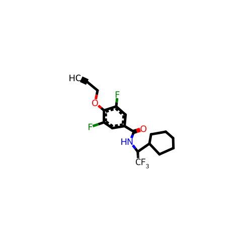 C#CCOc1c(F)cc(C(=O)NC(C2CCCCC2)C(F)(F)F)cc1F